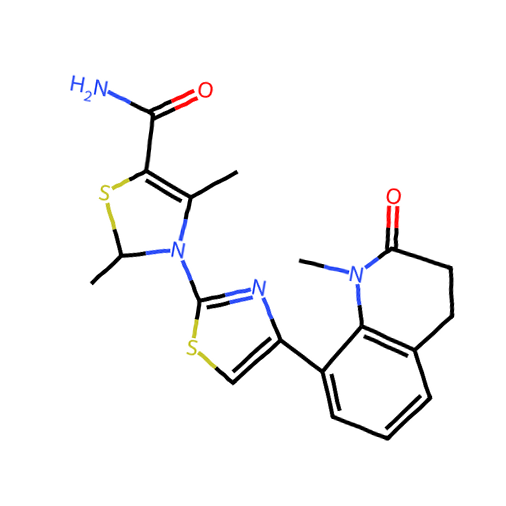 CC1=C(C(N)=O)SC(C)N1c1nc(-c2cccc3c2N(C)C(=O)CC3)cs1